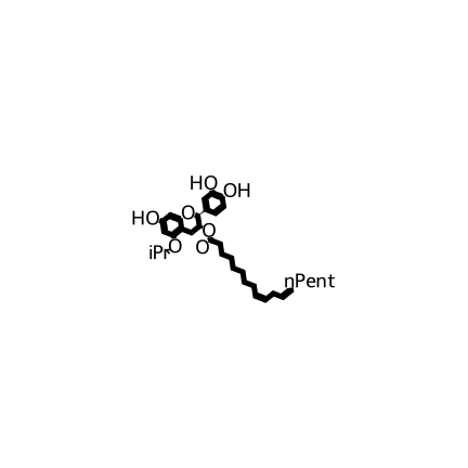 CCCCC/C=C\C/C=C\CCCCCCCC(=O)O[C@H]1Cc2c(OC(C)C)cc(O)cc2O[C@@H]1c1ccc(O)c(O)c1